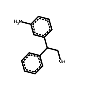 Nc1cccc(C(CO)c2ccccc2)c1